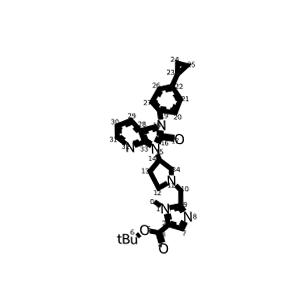 Cn1c(C(=O)OC(C)(C)C)cnc1CN1CCC(n2c(=O)n(-c3ccc(C4CC4)cc3)c3cccnc32)C1